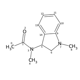 CC(=O)N(C)C1CN(C)c2ccccc21